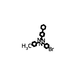 Cc1ccc(-c2nc(-c3ccc(Br)cc3)nc(-c3ccc(C4CCCCC4)cc3)n2)cc1